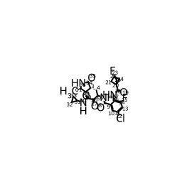 C[C@@H]1C[C@@H](CC(NC(=O)c2cc(Cl)cc(F)c2NC(=O)C23CC(F)(C2)C3)C(=O)C(=O)NC2CC2)C(=O)N1